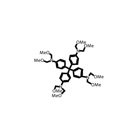 COCN(COC)c1ccc(C(c2ccc(N(COC)COC)cc2)(c2ccc(N(COC)COC)cc2)c2ccc(N(COC)COC)cc2)cc1